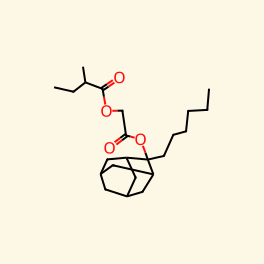 CCCCCCC1(OC(=O)COC(=O)C(C)CC)C2CC3CC(C2)CC1C3